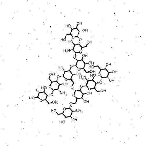 C[C@@H]1C(O)OC(CO)[C@@H](O[C@@H]2OC(CO)[C@@H](O[C@@H]3OC(CO[C@H]4OC(CO[C@@H]5OC(CO)[C@@H](O)C(O)[C@@H]5N)[C@@H](O)C(O)C4O[C@@H]4OC(CO)[C@@H](O[C@@H]5OC(CO)[C@H](O)C(O)[C@@H]5O)C(O)[C@@H]4N)[C@@H](O)C(O[C@@H]4OC(CO)[C@H](O)C(O)[C@@H]4O[C@@H]4OC(CO)[C@@H](O[C@@H]5OC(CO)[C@H](O)C(O)[C@@H]5O)C(O)[C@@H]4N)[C@H]3O)C(O)[C@@H]2N)C1O